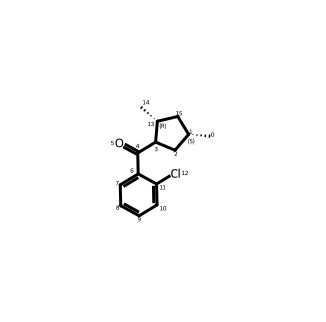 C[C@@H]1CC(C(=O)c2ccccc2Cl)[C@H](C)C1